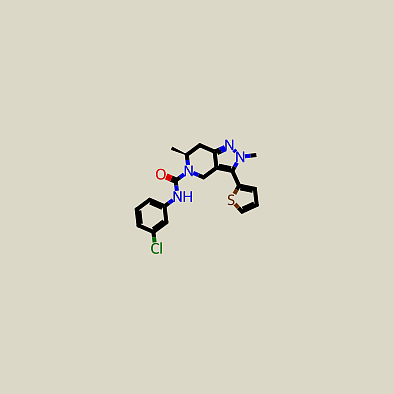 C[C@H]1Cc2nn(C)c(-c3cccs3)c2CN1C(=O)Nc1cccc(Cl)c1